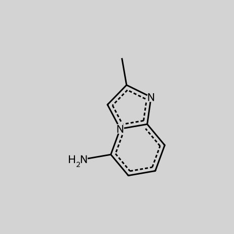 Cc1cn2c(N)cccc2n1